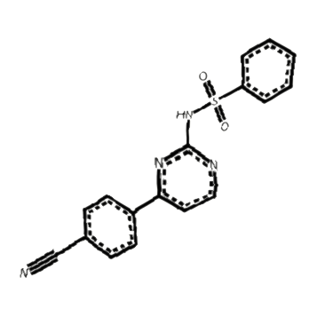 N#Cc1ccc(-c2ccnc(NS(=O)(=O)c3ccccc3)n2)cc1